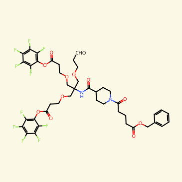 O=CCCOCC(COCCC(=O)Oc1c(F)c(F)c(F)c(F)c1F)(COCCC(=O)Oc1c(F)c(F)c(F)c(F)c1F)NC(=O)C1CCN(C(=O)CCCC(=O)OCc2ccccc2)CC1